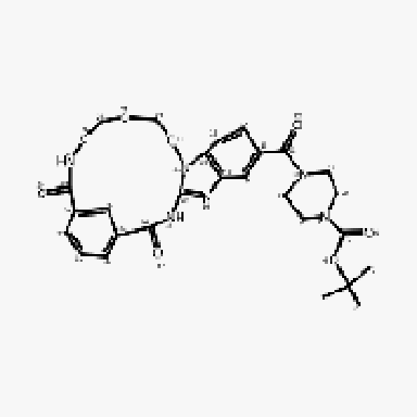 CC(C)(C)OC(=O)N1CCN(C(=O)c2ccc3c(c2)nc2n3CCCCCNC(=O)c3cccc(c3)C(=O)N2)CC1